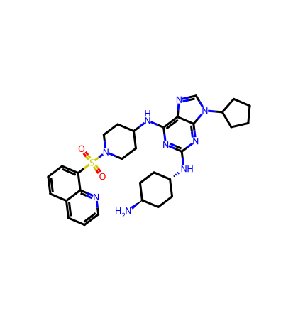 N[C@H]1CC[C@H](Nc2nc(NC3CCN(S(=O)(=O)c4cccc5cccnc45)CC3)c3ncn(C4CCCC4)c3n2)CC1